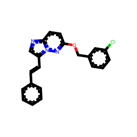 Clc1cccc(COc2ccc3ncc(/C=C/c4ccccc4)n3n2)c1